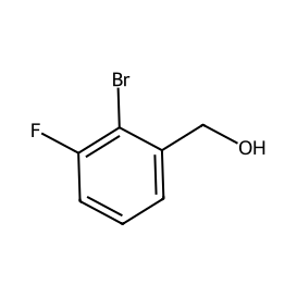 OCc1cccc(F)c1Br